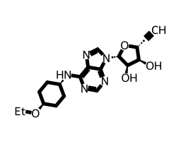 C#C[C@H]1O[C@@H](n2cnc3c(N[C@H]4CC[C@H](OCC)CC4)ncnc32)[C@H](O)[C@@H]1O